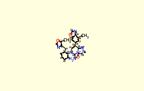 Cc1ocnc1Cc1ccccc1N1C=C(c2cc(C)c3ncoc3c2)C2=NN=C[N+]2([O-])C1N